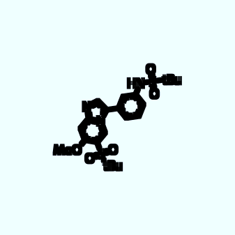 COc1cc2ncc(-c3cccc(NS(=O)(=O)C(C)(C)C)c3)n2cc1S(=O)(=O)C(C)(C)C